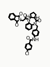 O=C(Nc1ccc(CN2C(=O)[C@H]3CCC[C@H]3N(C(=O)CN3C(=O)c4ccccc4C3=O)c3ccccc32)cc1)c1ccc(Cl)cc1